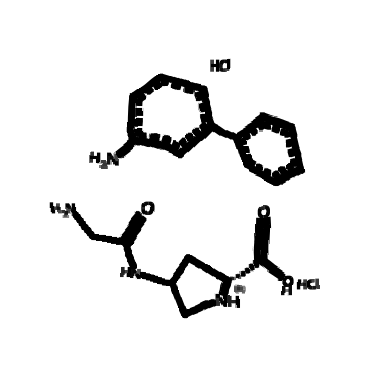 Cl.Cl.NCC(=O)NC1CN[C@@H](C(=O)O)C1.Nc1cccc(-c2ccccc2)c1